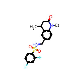 CCN1C(=O)CC(C)c2cc(CNS(=O)(=O)c3ccc(F)cc3F)ccc21